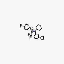 Fc1ccc(O/N=C(/c2cc(Cl)ccc2C(F)(F)F)C2CCCCC2)cc1